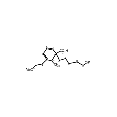 COCCC1=CC=CC(CCCCCC(C)C)(C(=O)O)C1C